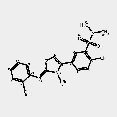 CCCCn1c(-c2ccc(Cl)c(S(=O)(=O)N(C)C)c2)csc1=Nc1ccccc1C